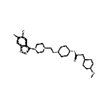 COC1CCC(CC(=O)N[C@H]2CC[C@H](CCN3CCN(c4noc5cc(F)c(Cl)cc45)CC3)CC2)CC1